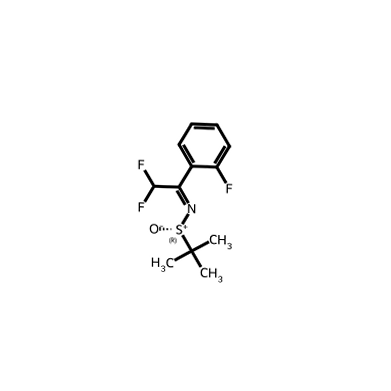 CC(C)(C)[S@+]([O-])N=C(c1ccccc1F)C(F)F